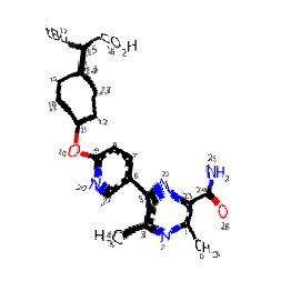 Cc1nc(C)c(-c2ccc(OC3CCC(C(C(=O)O)C(C)(C)C)CC3)nc2)nc1C(N)=O